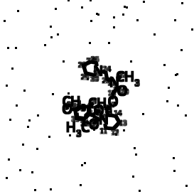 COc1cc(C)c(S(=O)(=O)N2CCCCC2COCC(=O)N(C)CCN2CCCCC2)c(C)c1